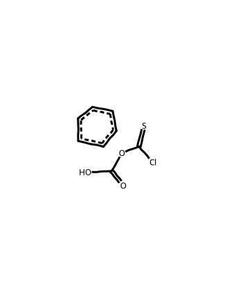 O=C(O)OC(=S)Cl.c1ccccc1